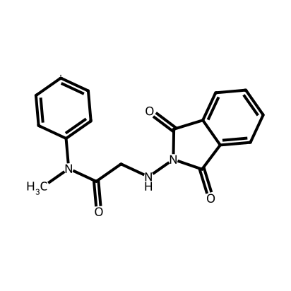 CN(C(=O)CNN1C(=O)c2ccccc2C1=O)c1cc[c]cc1